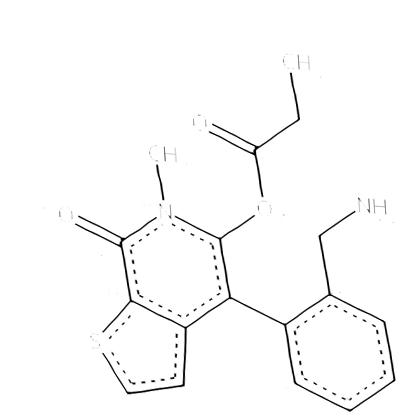 CCC(=O)Oc1c(-c2ccccc2CN)c2ccsc2c(=O)n1C